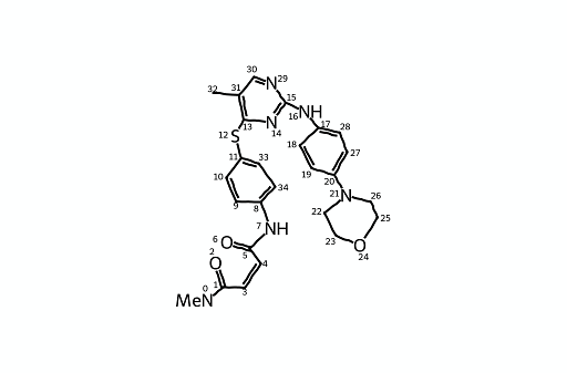 CNC(=O)/C=C\C(=O)Nc1ccc(Sc2nc(Nc3ccc(N4CCOCC4)cc3)ncc2C)cc1